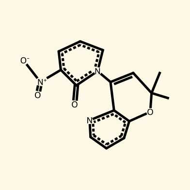 CC1(C)C=C(n2cccc([N+](=O)[O-])c2=O)c2ncccc2O1